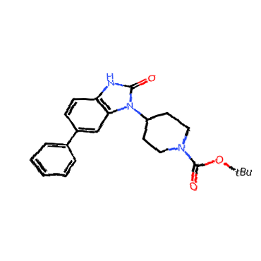 CC(C)(C)OC(=O)N1CCC(n2c(=O)[nH]c3ccc(-c4ccccc4)cc32)CC1